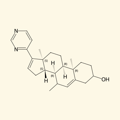 CC1C=C2CC(O)CC[C@]2(C)[C@@H]2CC[C@]3(C)C(c4ccncn4)=CC[C@H]3[C@H]12